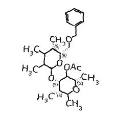 CC(=O)OC1[C@H](C)OC(C)[C@H](C)[C@@H]1OC1O[C@@H](COCc2ccccc2)[C@@H](C)C(C)C1C